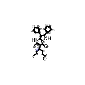 CC/C=C(\CCC=O)C1=C(C)NC2=C(c3ccccc3)C(c3ccccc3)NN2C1=O